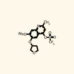 COc1cc2nc(C)cc(OS(=O)(=O)C(F)(F)F)c2cc1OC1CCOC1